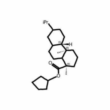 CC(C)C1CC[C@H]2C(CCC3[C@](C)(C(=O)OC4CCCC4)CCC[C@@]32C)C1